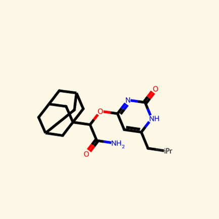 CC(C)Cc1cc(OC(C(N)=O)C23CC4CC(CC(C4)C2)C3)nc(=O)[nH]1